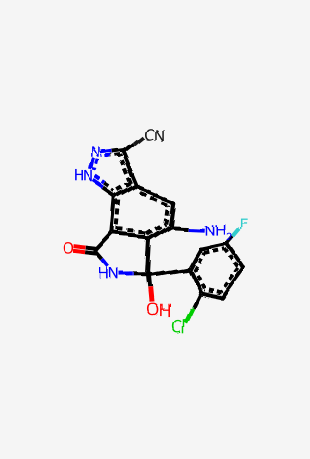 N#Cc1n[nH]c2c3c(c(N)cc12)C(O)(c1cc(F)ccc1Cl)NC3=O